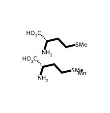 CSCC[C@H](N)C(=O)O.CSCC[C@H](N)C(=O)O.[Mn]